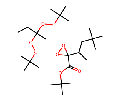 CC(CC(C)(C)C)C1(C(=O)OC(C)(C)C)OO1.CCC(C)(OOC(C)(C)C)OOC(C)(C)C